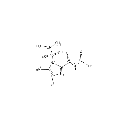 CCCc1c(Cl)nc(C(=S)NC(=O)CC)n1S(=O)(=O)N(C)C